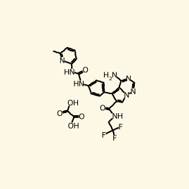 Cc1cccc(NC(=O)Nc2ccc(-c3c(C(=O)NCC(F)(F)F)cn4ncnc(N)c34)cc2)n1.O=C(O)C(=O)O